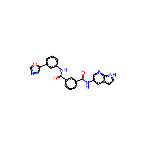 O=C(Nc1cccc(-c2cnco2)c1)c1cccc(C(=O)Nc2cnc3[nH]ccc3c2)c1